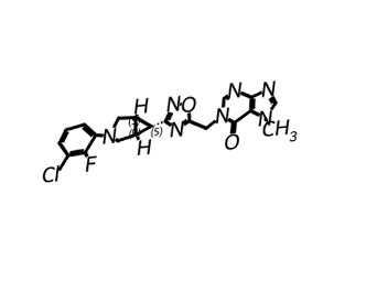 Cn1cnc2ncn(Cc3nc([C@@H]4[C@@H]5CN(c6cccc(Cl)c6F)C[C@@H]54)no3)c(=O)c21